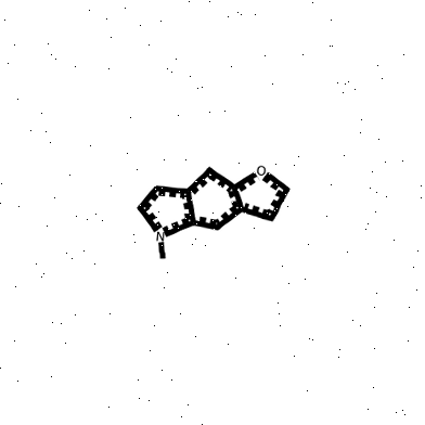 Cn1ccc2cc3occc3cc21